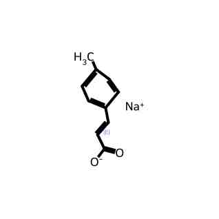 Cc1ccc(/C=C/C(=O)[O-])cc1.[Na+]